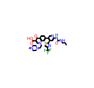 CCCNC(=O)Nc1cc(-c2nc(C(F)(F)F)cs2)c(-c2ccc3c(=O)c(C(=O)O)cn(CCN4CCN(C)CC4)c3c2)cn1